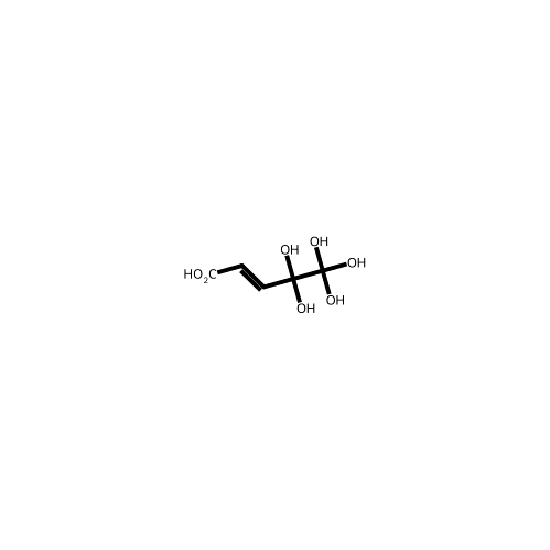 O=C(O)C=CC(O)(O)C(O)(O)O